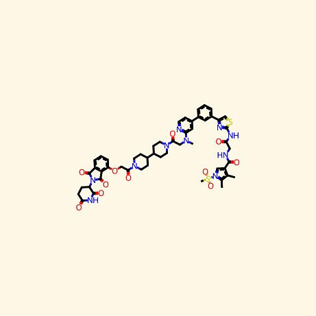 Cc1c(C(=O)NCC(=O)Nc2nc(-c3cccc(-c4ccnc(N(C)CC(=O)N5CCC(C6CCN(C(=O)COc7cccc8c7C(=O)N(C7CCC(=O)NC7=O)C8=O)CC6)CC5)c4)c3)cs2)cn(S(C)(=O)=O)c1C